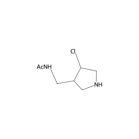 CC(=O)NCC1CNCC1Cl